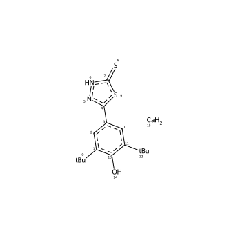 CC(C)(C)c1cc(-c2n[nH]c(=S)s2)cc(C(C)(C)C)c1O.[CaH2]